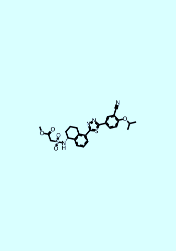 COC(=O)CS(=O)(=O)N[C@@H]1CCCc2c(-c3nnc(-c4ccc(OC(C)C)c(C#N)c4)s3)cccc21